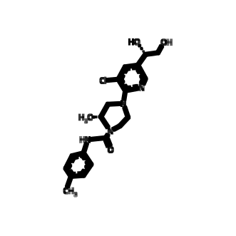 Cc1ccc(NC(=O)N2CCN(c3ncc([C@H](O)CO)cc3Cl)C[C@H]2C)cc1